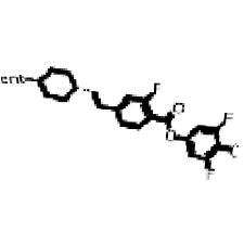 CCCCC[C@H]1CC[C@H](CCc2ccc(C(=O)Oc3cc(F)c(C#N)c(F)c3)c(F)c2)CC1